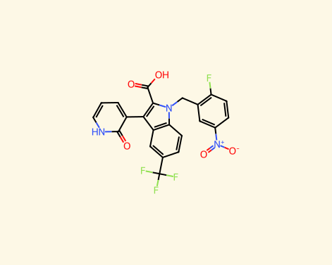 O=C(O)c1c(-c2ccc[nH]c2=O)c2cc(C(F)(F)F)ccc2n1Cc1cc([N+](=O)[O-])ccc1F